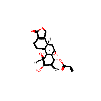 C=CC(=O)O[C@@H]1C(C(C)C)[C@@H](O)[C@@H]2O[C@]23[C@]12O[C@H]2C[C@H]1C2=C(CC[C@@]13C)C(=O)OC2